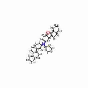 c1ccc(N(c2ccc3ccc4c5ccccc5ccc4c3c2)c2ccc3oc4c5ccccc5ccc4c3c2)cc1